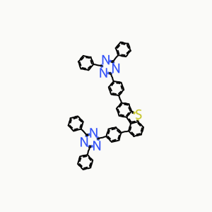 c1ccc(-c2nc(-c3ccccc3)nc(-c3ccc(-c4ccc5c(c4)sc4cccc(-c6ccc(-c7nc(-c8ccccc8)nc(-c8ccccc8)n7)cc6)c45)cc3)n2)cc1